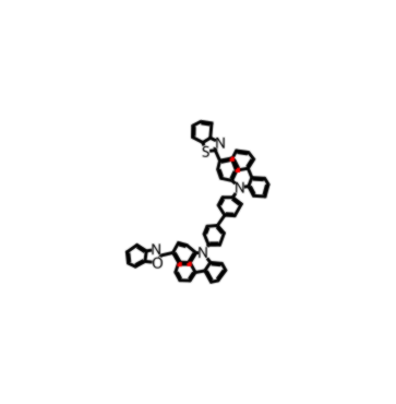 C1=CC2N=C(c3ccc(N(c4ccc(-c5ccc(N(c6ccc(-c7nc8ccccc8o7)cc6)c6ccccc6-c6ccccc6)cc5)cc4)c4ccccc4-c4ccccc4)cc3)SC2C=C1